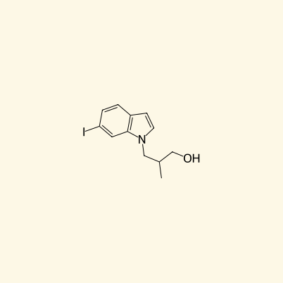 CC(CO)Cn1ccc2ccc(I)cc21